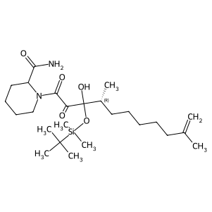 C=C(C)CCCCC[C@@H](C)C(O)(O[Si](C)(C)C(C)(C)C)C(=O)C(=O)N1CCCCC1C(N)=O